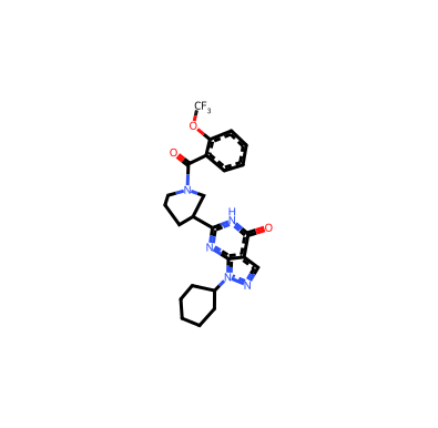 O=C(c1ccccc1OC(F)(F)F)N1CCCC(c2nc3c(cnn3C3CCCCC3)c(=O)[nH]2)C1